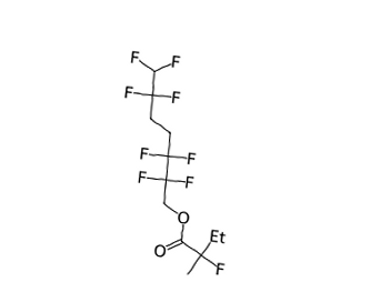 CCC(C)(F)C(=O)OCC(F)(F)C(F)(F)CCC(F)(F)C(F)F